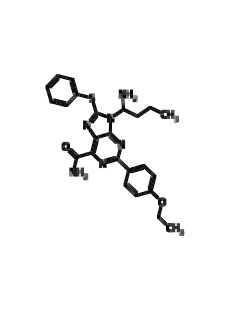 CCCC(N)n1c(Sc2ccccc2)nc2c(C(N)=O)nc(-c3ccc(OCC)cc3)nc21